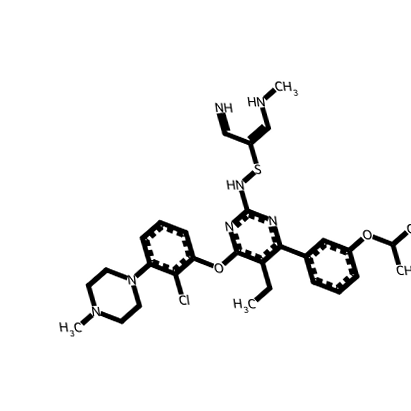 CCc1c(Oc2cccc(N3CCN(C)CC3)c2Cl)nc(NS/C(C=N)=C/NC)nc1-c1cccc(OC(C)C)c1